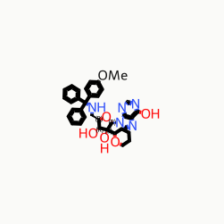 COc1ccc(C(NC[C@H]2O[C@@H](n3cnc4c(O)ncnc43)[C@@](O)(C3CCCCO3)[C@@H]2O)(c2ccccc2)c2ccccc2)cc1